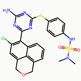 CN(C)S(=O)(=O)Nc1ccc(Sc2nc(N)nc(-c3c(Cl)cc4c5c(cccc35)COC4)n2)cc1